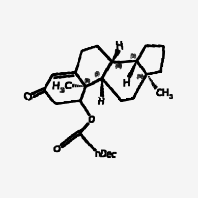 CCCCCCCCCCC(=O)OC1CC(=O)C=C2CC[C@@H]3[C@@H]4CCC[C@@]4(C)CC[C@@H]3[C@]21C